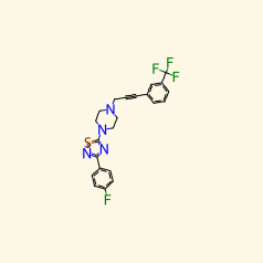 Fc1ccc(-c2nsc(N3CCN(CC#Cc4cccc(C(F)(F)F)c4)CC3)n2)cc1